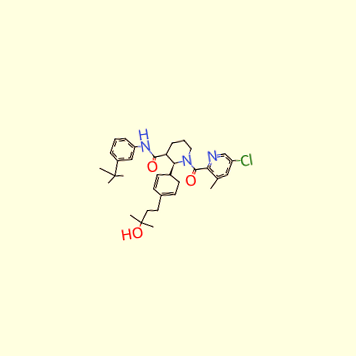 Cc1cc(Cl)cnc1C(=O)N1CCCC(C(=O)Nc2cccc(C(C)(C)C)c2)[C@@H]1C1C=CC(CCC(C)(C)O)=CC1